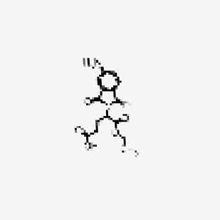 CCOC(=O)C(CCC(=O)O)N1C(=O)c2ccc(N)cc2C1=O